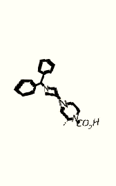 C[C@@H]1CN(C2CN(C(c3ccccc3)c3ccccc3)C2)CCN1C(=O)O